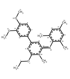 CCOc1nc(-c2ccc(OC)c(OC)c2)cc(=Nc2c(C)cc(C)cc2C)n1C